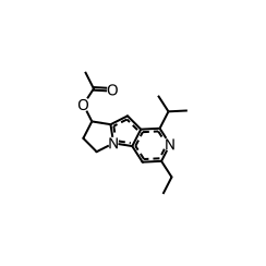 CCc1cc2c(cc3n2CCC3OC(C)=O)c(C(C)C)n1